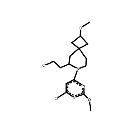 COc1nc(Cl)cc(N2CCC3(CC(OC)C3)CC2CCCl)n1